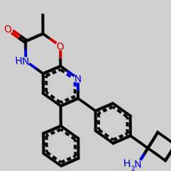 CC1Oc2nc(-c3ccc(C4(N)CCC4)cc3)c(-c3ccccc3)cc2NC1=O